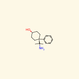 CC(C)(N)[C@]1(c2ccccc2)CC[C@H](O)CC1